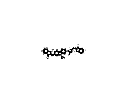 Cc1cc(C=C2C(=O)c3ccccc3C2=O)sc1-c1ccc2c3ccc(C=C4C(=O)c5ccccc5C4=O)cc3n(C(C)C)c2c1